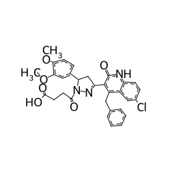 COc1ccc(C2CC(c3c(Cc4ccccc4)c4cc(Cl)ccc4[nH]c3=O)=NN2C(=O)CCC(=O)O)cc1OC